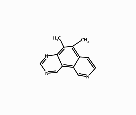 Cc1c(C)c2ncncc2c2cnccc12